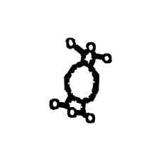 O=c1oc(=O)c2cccc3c(=O)oc(=O)c3cccc12